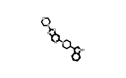 c1ccc2c(C3CCN(c4cc5oc(N6CCOCC6)nc5cn4)CC3)c[nH]c2c1